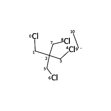 ClCC(CCl)(CCl)CCl.[CH2]C